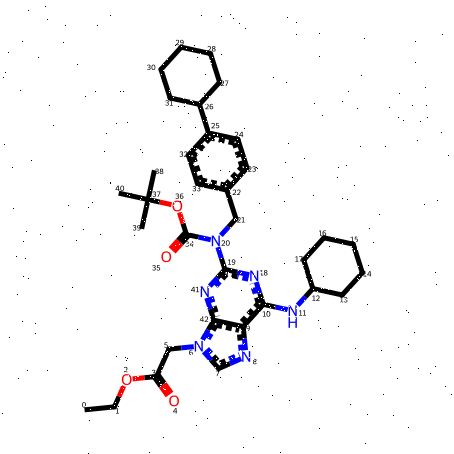 CCOC(=O)Cn1cnc2c(NC3CCCCC3)nc(N(Cc3ccc(C4CCCCC4)cc3)C(=O)OC(C)(C)C)nc21